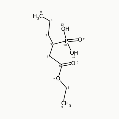 CCCC(CC(=O)OCC)P(=O)(O)O